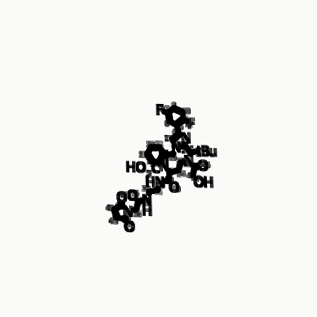 CC(C)(C)C(c1nc(-c2cc(F)ccc2F)cn1Cc1ccccc1)N(CCC(NC(=O)O)C(=O)NCCNC(=O)CN1C(=O)C=CC1=O)C(=O)CO